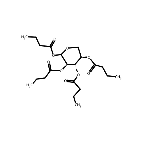 CCCC(=O)OC1OC[C@@H](OC(=O)CCC)[C@H](OC(=O)CCC)[C@H]1OC(=O)CCC